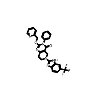 O=c1c2c(nc(OCc3ccccn3)n1-c1ccccc1)CCN(c1nc3ccc(C(F)(F)F)cc3[nH]1)C2